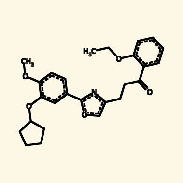 CCOc1ccccc1C(=O)CCc1coc(-c2ccc(OC)c(OC3CCCC3)c2)n1